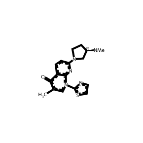 CN[C@@H]1CCN(c2ccc3c(=O)c(C)cn(-c4nccs4)c3n2)C1